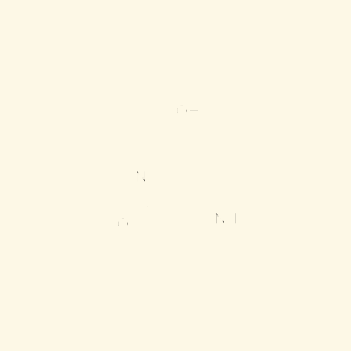 CN(CCO)C(=O)[C@H]1CCNC1